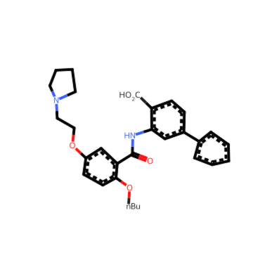 CCCCOc1ccc(OCCN2CCCC2)cc1C(=O)Nc1cc(-c2ccccc2)ccc1C(=O)O